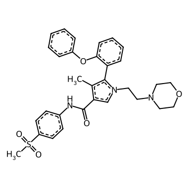 Cc1c(C(=O)Nc2ccc(S(C)(=O)=O)cc2)cn(CCN2CCOCC2)c1-c1ccccc1Oc1ccccc1